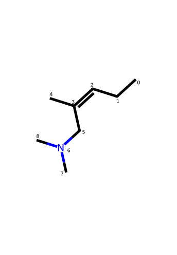 CCC=C(C)CN(C)C